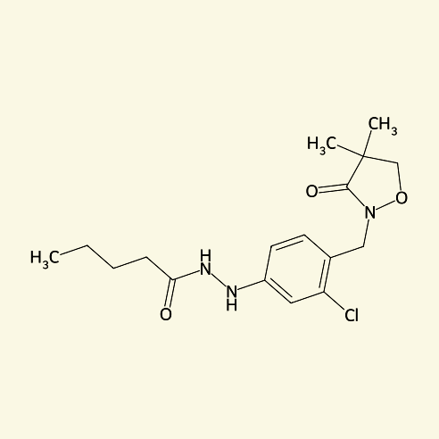 CCCCC(=O)NNc1ccc(CN2OCC(C)(C)C2=O)c(Cl)c1